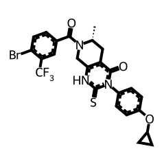 C[C@@H]1Cc2c([nH]c(=S)n(-c3ccc(OC4CC4)cc3)c2=O)CN1C(=O)c1ccc(Br)c(C(F)(F)F)c1